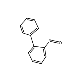 O=Nc1ccccc1-c1ccccc1